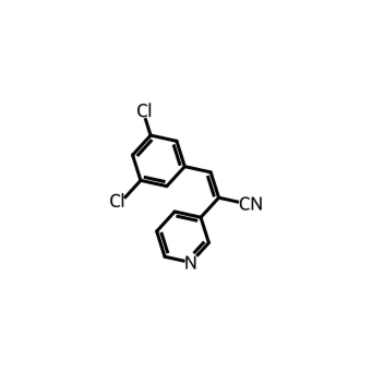 N#C/C(=C/c1cc(Cl)cc(Cl)c1)c1cccnc1